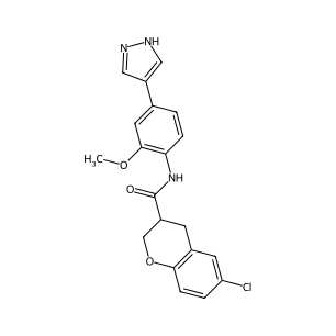 COc1cc(-c2cn[nH]c2)ccc1NC(=O)C1COc2ccc(Cl)cc2C1